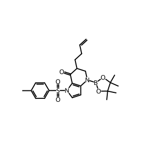 C=CCCC1CN(B2OC(C)(C)C(C)(C)O2)c2ccn(S(=O)(=O)c3ccc(C)cc3)c2C1=O